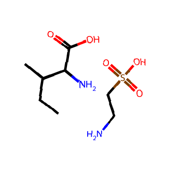 CCC(C)C(N)C(=O)O.NCCS(=O)(=O)O